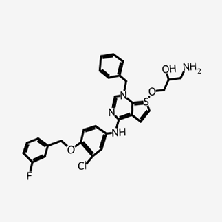 NCC(O)COS1=C2C(=C(Nc3ccc(OCc4cccc(F)c4)c(Cl)c3)N=CN2Cc2ccccc2)C=C1